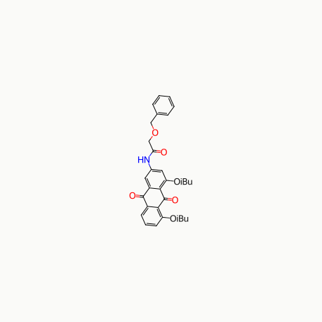 CC(C)COc1cccc2c1C(=O)c1c(OCC(C)C)cc(NC(=O)COCc3ccccc3)cc1C2=O